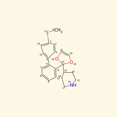 CSc1ccc(-c2ccccc2C2(C3CCNCC3)OC=CO2)cc1